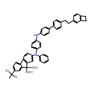 CCCCCCCCC1(CCCCCCCC)c2cc(N(c3ccccc3)c3ccc(Nc4ccc(-c5ccc(CCc6ccc7c(c6)CC7)cc5)cc4)cc3)ccc2-c2ccc(C(C)(CC)CC)cc21